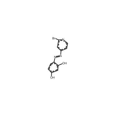 Oc1ccc(/N=N/c2ccnc(Br)c2)c(O)c1